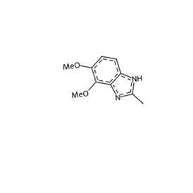 COc1ccc2[nH]c(C)nc2c1OC